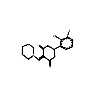 O=C1CC(c2cccc(Cl)c2Cl)CC(=O)C1=CN1CCCCC1